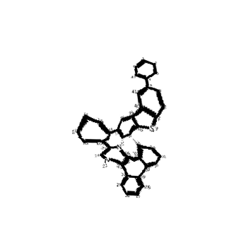 C1=CCCC(c2ccc3sc4ccc(-c5ccccc5-c5cnc6c7ccccc7c7ccccc7c6n5)cc4c3c2)=C1